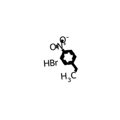 Br.CCc1ccc([N+](=O)[O-])cc1